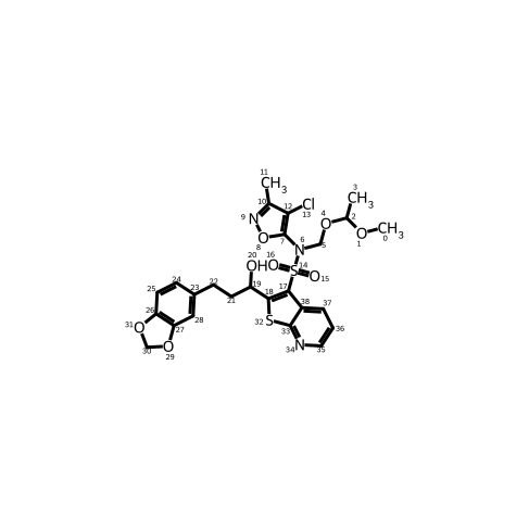 COC(C)OCN(c1onc(C)c1Cl)S(=O)(=O)c1c(C(O)CCc2ccc3c(c2)OCO3)sc2ncccc12